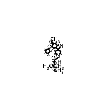 COc1ccc(C2(C#N)CCN(CC(=O)NOC(C)(C)OC)CC2)cc1OC1CCCC1